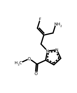 COC(=O)c1ccnn1C/C(=C/F)CN